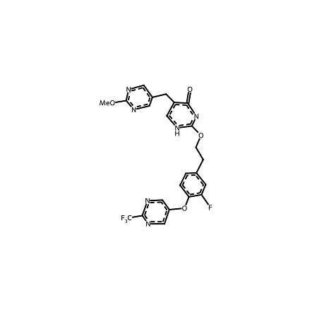 COc1ncc(Cc2c[nH]c(OCCc3ccc(Oc4cnc(C(F)(F)F)nc4)c(F)c3)nc2=O)cn1